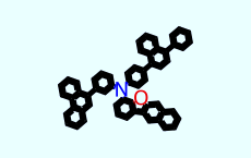 c1ccc(-c2ccc(-c3ccc(N(c4cccc(-c5cc6ccccc6c6ccccc56)c4)c4cccc5c4oc4cc6ccccc6cc45)cc3)c3ccccc23)cc1